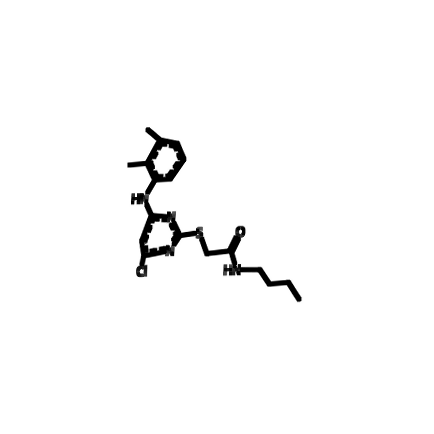 CCCCNC(=O)CSc1nc(Cl)cc(Nc2cccc(C)c2C)n1